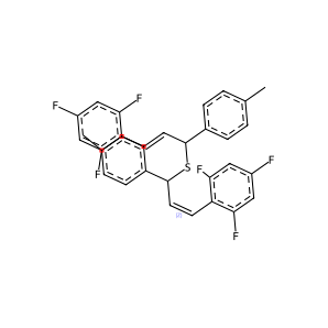 Cc1ccc(C(C=Cc2c(F)cc(F)cc2F)SC(/C=C\c2c(F)cc(F)cc2F)c2ccc(C)cc2)cc1